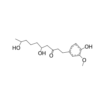 COc1cc(CCC(=O)CC(O)CCCC(C)O)ccc1O